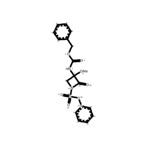 COC1(NC(=O)OCc2ccccc2)CN(S(=O)(=O)O[n+]2ccccc2)C1=O